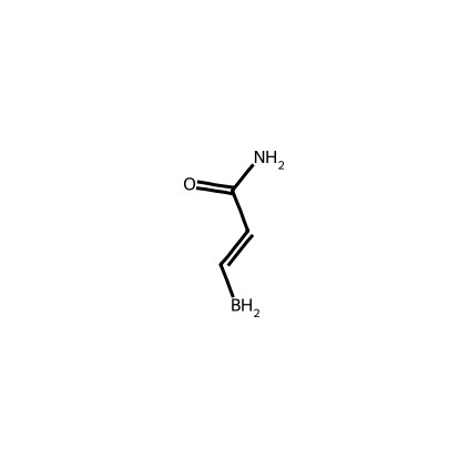 BC=CC(N)=O